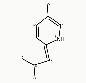 CC1=CN/C(=C/C(C)C)C=C1